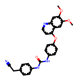 COc1cc2nccc(Oc3ccc(NC(=O)[N]c4ccc(CC#N)cc4)cc3)c2cc1OC